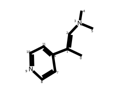 CC(=CN(C)C)c1ccncc1